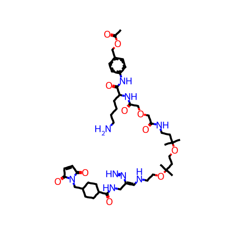 CC(=O)OCc1ccc(NC(=O)C(CCCCN)NC(=O)COCC(=O)NCCC(C)(C)OCCC(C)(C)OCCN/C=C(/CNC(=O)C2CCC(CN3C(=O)C=CC3=O)CC2)N=N)cc1